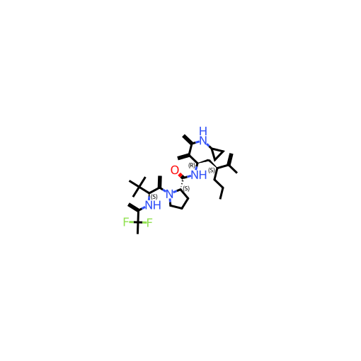 C=C(NC1CC1)C(=C)[C@@H](C[C@H](CCC)C(=C)C)NC(=O)[C@@H]1CCCN1C(=C)[C@@H](NC(=C)C(C)(F)F)C(C)(C)C